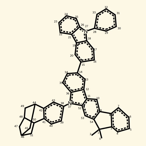 CC1(C)c2ccccc2-c2cc3c4cc(-c5ccc6c(c5)c5ccccc5n6-c5ccccc5)ccc4n(-c4ccc5c(c4)C4CC6CC(C4)C5C6)c3cc21